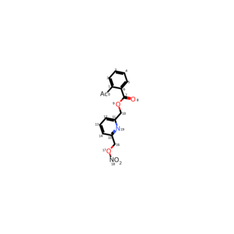 CC(=O)c1ccccc1C(=O)OCc1cccc(CO[N+](=O)[O-])n1